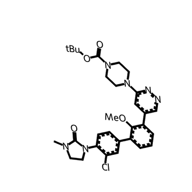 COc1c(-c2cnnc(N3CCN(C(=O)OC(C)(C)C)CC3)c2)cccc1-c1ccc(N2CCN(C)C2=O)c(Cl)c1